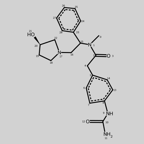 CN(C(=O)Cc1ccc(NC(N)=O)cc1)C(CN1CC[C@@H](O)C1)c1ccccc1